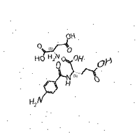 N[C@@H](CC(=O)O)C(=O)O.Nc1ccc(C(=O)N[C@@H](CCC(=O)O)C(=O)O)cc1